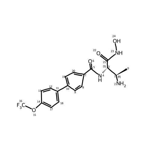 C[C@@H](N)[C@H](NC(=O)c1ccc(-c2ccc(OC(F)(F)F)cc2)cc1)C(=O)NO